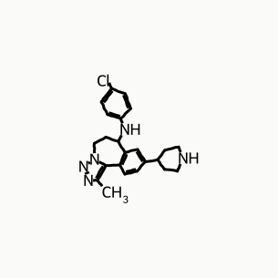 Cc1nnn2c1-c1ccc(C3CCNCC3)cc1C(Nc1ccc(Cl)cc1)CC2